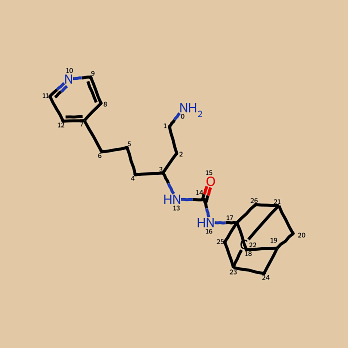 NCCC(CCCc1ccncc1)NC(=O)NC12CC3CC(CC(C3)C1)C2